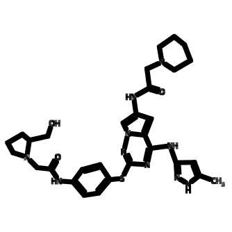 Cc1cc(Nc2nc(Sc3ccc(NC(=O)CN4CCCC4CO)cc3)nn3cc(NC(=O)CN4CCCCC4)cc23)n[nH]1